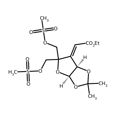 CCOC(=O)C=C1[C@H]2OC(C)(C)O[C@H]2OC1(COS(C)(=O)=O)COS(C)(=O)=O